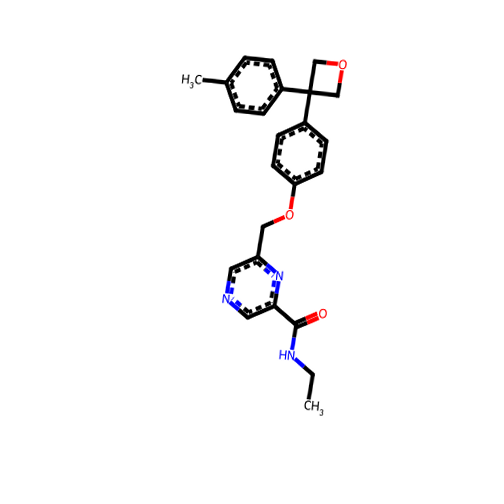 CCNC(=O)c1cncc(COc2ccc(C3(c4ccc(C)cc4)COC3)cc2)n1